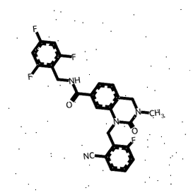 CN1Cc2ccc(C(=O)NCc3c(F)cc(F)cc3F)cc2N(Cc2c(F)cccc2C#N)C1=O